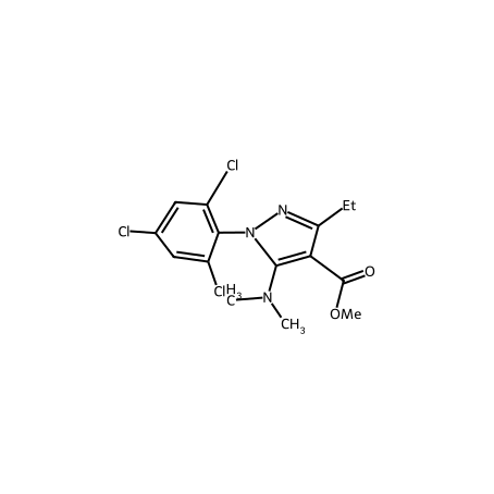 CCc1nn(-c2c(Cl)cc(Cl)cc2Cl)c(N(C)C)c1C(=O)OC